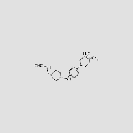 CC1(C)CCC(c2ccc(NC3CCC(CNC=O)CC3)cc2)CC1